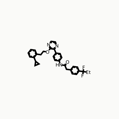 CCC(F)(F)c1ccc(CC(=O)Nc2ccc(-c3nccnc3OCCc3ccccc3C3CC3)cc2)cc1